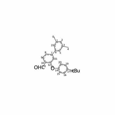 Cc1cc(C)cc(-c2ccc(C=O)c(Oc3ccc(C(C)(C)C)cc3)c2)c1